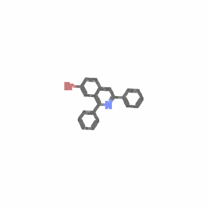 Brc1ccc2cc(-c3ccccc3)nc(-c3ccccc3)c2c1